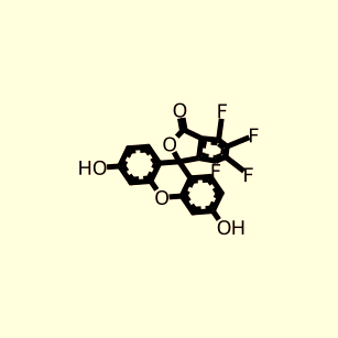 O=C1OC2(c3ccc(O)cc3Oc3cc(O)ccc32)c2c(F)c(F)c(F)c(F)c21